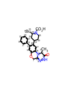 CC1C(=O)NN=C2COc3cc(-c4ccccc4)c(C4CCN(C(=O)O)C(C(C)(C)C)C4)cc3N21